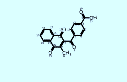 CC1=C(C(=O)c2ccc(C(=O)O)cc2)C(=O)c2ccccc2C1=O